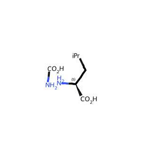 CC(C)C[C@H](N)C(=O)O.NC(=O)O